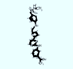 CNS(=O)(=O)Cc1ccc(NCc2ccc(-c3ccnc(Nc4cccc(C(C)O)c4)n3)s2)cc1